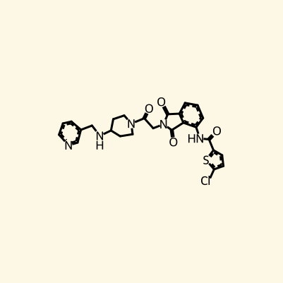 O=C(Nc1cccc2c1C(=O)N(CC(=O)N1CCC(NCc3cccnc3)CC1)C2=O)c1ccc(Cl)s1